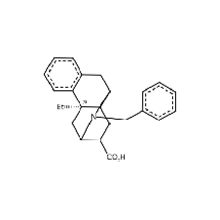 CC[C@@]12CC3C(C(=O)O)CC1C(Cc1ccccc12)N3Cc1ccccc1